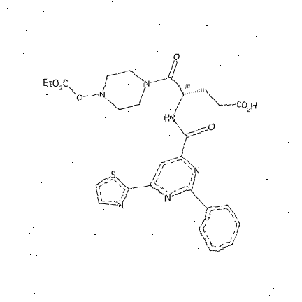 CCOC(=O)ON1CCN(C(=O)[C@H](CCC(=O)O)NC(=O)c2cc(-c3nccs3)nc(-c3ccccc3)n2)CC1